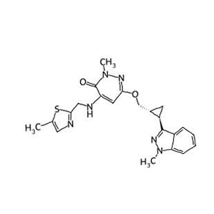 Cc1cnc(CNc2cc(OC[C@@H]3C[C@H]3c3nn(C)c4ccccc34)nn(C)c2=O)s1